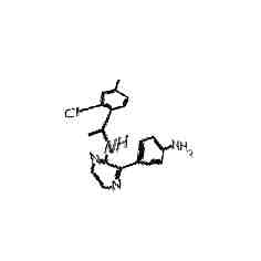 Cc1ccc(C(C)Nc2nccnc2-c2ccc(N)cc2)c(Cl)c1